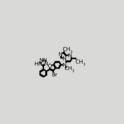 CCc1cc(N(C)c2ccc3oc(-c4ccccc4-c4nnn[nH]4)c(Br)c3c2)n2cnc(C)c2n1